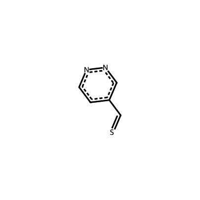 S=Cc1ccnnc1